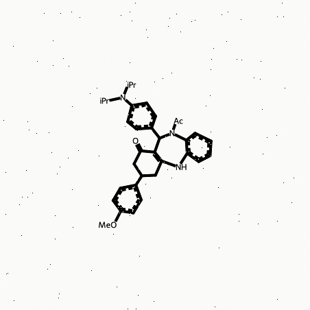 COc1ccc(C2CC(=O)C3=C(C2)Nc2ccccc2N(C(C)=O)C3c2ccc(N(C(C)C)C(C)C)cc2)cc1